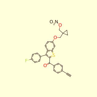 C#Cc1ccc(C(=O)c2sc3cc(OCC4(CO[N+](=O)[O-])CC4)ccc3c2-c2ccc(F)cc2)cc1